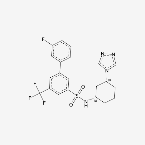 O=S(=O)(N[C@H]1CCC[C@@H](n2cnnc2)C1)c1cc(-c2cccc(F)c2)cc(C(F)(F)F)c1